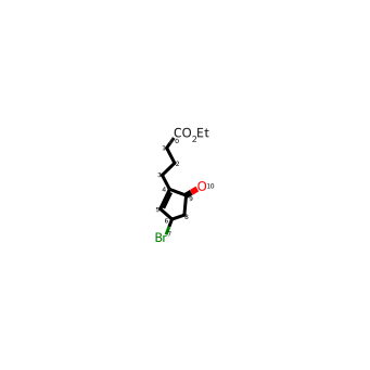 CCOC(=O)CCCC1=CC(Br)CC1=O